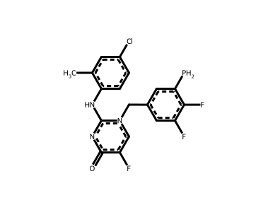 Cc1cc(Cl)ccc1Nc1nc(=O)c(F)cn1Cc1cc(F)c(F)c(P)c1